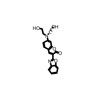 O=c1oc2cc(N(CCO)CCO)ccc2cc1-c1nc2ccccc2o1